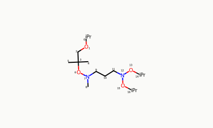 CC(C)OCC(C)(C)ON(C)CCCN(OC(C)C)OC(C)C